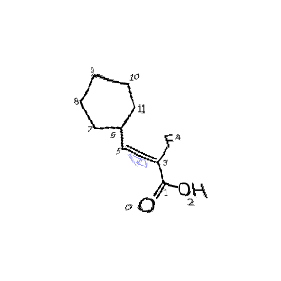 O=C(O)/C(F)=C/C1CCCCC1